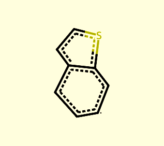 [c]1ccc2ccsc2c1